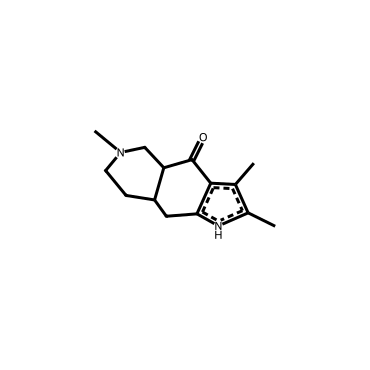 Cc1[nH]c2c(c1C)C(=O)C1CN(C)CCC1C2